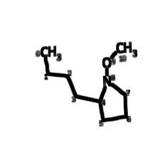 CCCCC1CCCN1OC